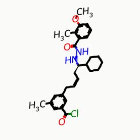 COc1cccc(C(=O)NN[C@H](C/C=C\Cc2cc(C)cc(C(=O)Cl)c2)C2CCCCC2)c1C